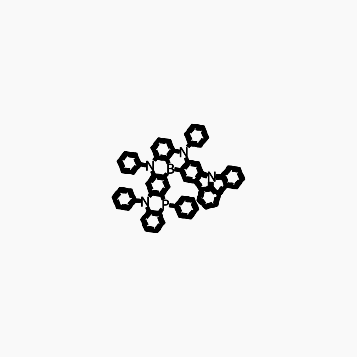 c1ccc(N2c3ccccc3P(c3ccccc3)c3cc4c(cc32)N(c2ccccc2)c2cccc3c2B4c2cc4c5cccc6c7ccccc7n(c4cc2N3c2ccccc2)c65)cc1